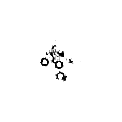 CN(C(=O)c1cc2cc([C@H]3CCOC(C)(C)C3)ccc2n1[C@@]1(c2noc(=O)[nH]2)C[C@@H]1COC(=O)C(F)(F)F)c1ccccc1